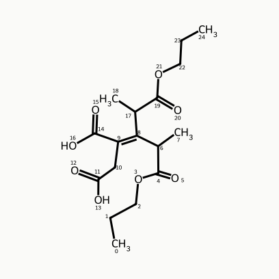 CCCOC(=O)C(C)C(=C(CC(=O)O)C(=O)O)C(C)C(=O)OCCC